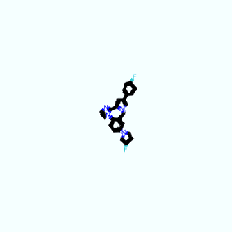 Fc1ccc(-c2cc3n(c2)Cc2cc(N4C[CH]C(F)C4)ccc2-n2ccnc2-3)cc1